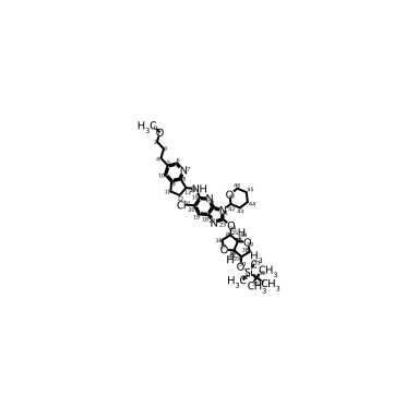 COCCCc1cnc2c(c1)CCC2Nc1nc2c(cc1Cl)nc(O[C@@H]1CO[C@@H]3C(O[Si](C)(C)C(C)(C)C)CO[C@@H]31)n2C1CCCCO1